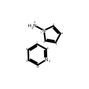 Nn1cccc1.c1ccncc1